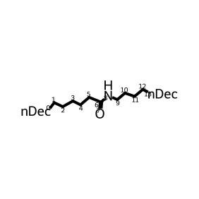 CCCCCCCCCCCCCCCC(=O)NCCCCCCCCCCCCCC